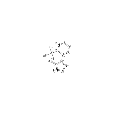 O=c1[nH]nnn1-c1cccnc1C(F)(F)F